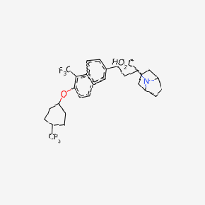 O=C(O)C1CC2CCC(C1)N2CCCc1ccc2c(C(F)(F)F)c(OC3CCC(C(F)(F)F)CC3)ccc2c1